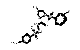 Cc1ccc(S(=O)(=O)NNC(=O)[C@@H]2C[C@@H](S)CN2S(=O)(=O)c2cccc(F)c2)cc1